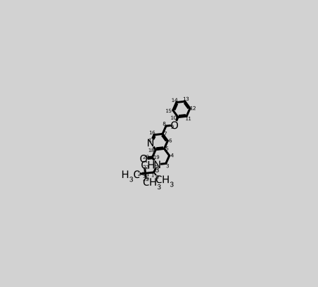 C[C@H](N1CCc2cc(COc3ccccc3)cnc2C1=O)C(C)(C)C